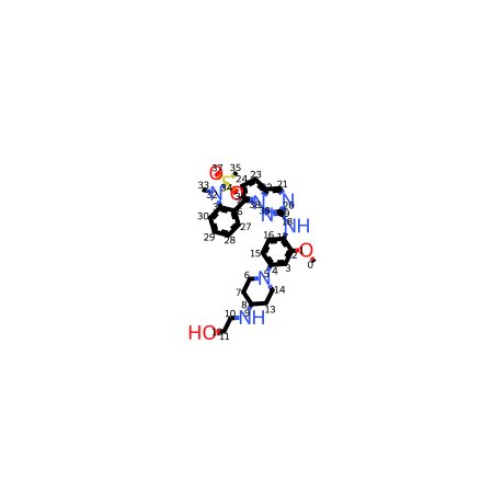 COc1cc(N2CCC(NCCO)CC2)ccc1Nc1ncc2ccc(-c3ccccc3N(C)S(C)(=O)=O)n2n1